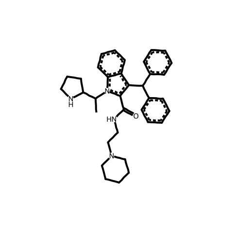 CC(C1CCCN1)n1c(C(=O)NCCN2CCCCC2)c(C(c2ccccc2)c2ccccc2)c2ccccc21